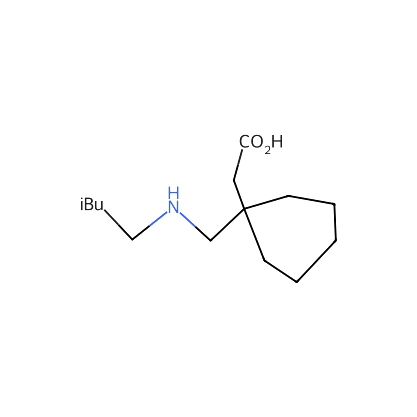 CCC(C)CNCC1(CC(=O)O)CCCCC1